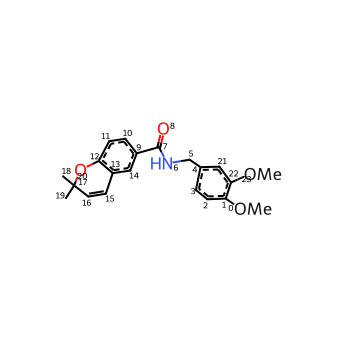 COc1ccc(CNC(=O)c2ccc3c(c2)C=CC(C)(C)O3)cc1OC